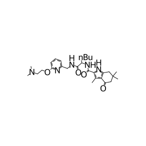 CCCCC(NC(=O)c1[nH]c2c(c1C)C(=O)CC(C)(C)C2)C(=O)NCc1cccc(OCCN(C)C)n1